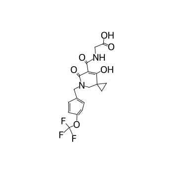 O=C(O)CNC(=O)C1=C(O)C2(CC2)CN(Cc2ccc(OC(F)(F)F)cc2)C1=O